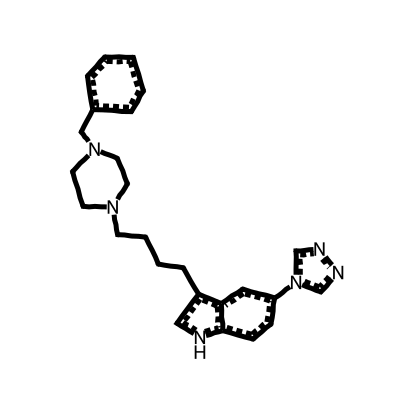 c1ccc(CN2CCN(CCCCc3c[nH]c4ccc(-n5cnnc5)cc34)CC2)cc1